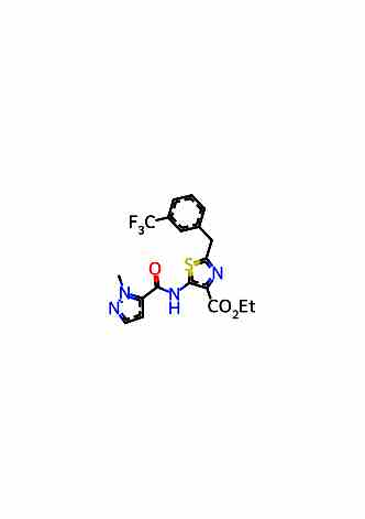 CCOC(=O)c1nc(Cc2cccc(C(F)(F)F)c2)sc1NC(=O)c1ccnn1C